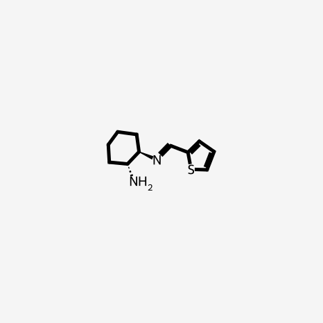 N[C@@H]1CCCC[C@H]1N=Cc1cccs1